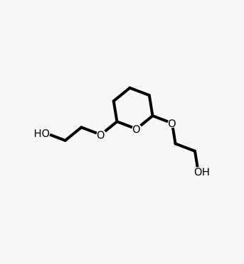 OCCOC1CCCC(OCCO)O1